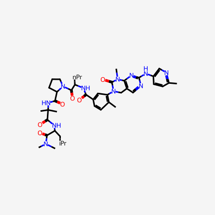 CCCC(NC(=O)c1ccc(C)c(N2Cc3cnc(Nc4ccc(C)nc4)nc3N(C)C2=O)c1)C(=O)N1CCCC1C(=O)NC(C)(C)C(=O)NC(CC(C)C)C(=O)N(C)C